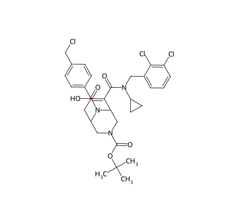 CC(C)(C)OC(=O)N1CC2CC(c3ccc(CCl)cc3)=C(C(=O)N(Cc3cccc(Cl)c3Cl)C3CC3)C(C1)N2C(=O)O